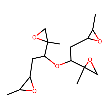 CC1OC1CC(OC(CC1OC1C)C1(C)CO1)C1(C)CO1